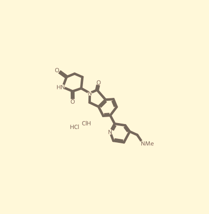 CNCc1ccnc(-c2ccc3c(c2)CN(C2CCC(=O)NC2=O)C3=O)c1.Cl.Cl